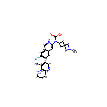 Cc1c(-c2cc3cc(N(C(=O)O)C4CC5(C4)CN(C)C5)ncc3cc2F)cnc2c1NCCC2